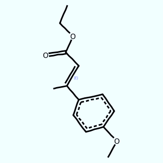 CCOC(=O)/C=C(\C)c1ccc(OC)cc1